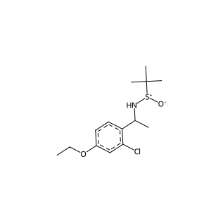 CCOc1ccc(C(C)N[S+]([O-])C(C)(C)C)c(Cl)c1